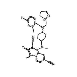 Cc1cc(F)ccc1N(C[C@@H]1CCCO1)C1CCC(N(C)c2c(C#N)c(=O)n(C)c3ccc(C#N)nc23)CC1